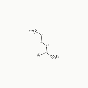 CCOC(=O)CCSC(C(=O)OCC)C(C)C